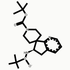 CC(C)(C)OC(=O)N1CCC2(CC1)c1ncccc1C[C@H]2N[S+]([O-])C(C)(C)C